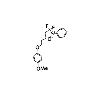 COc1ccc(OCCCCC(F)(F)[S+]([O-])c2ccccc2)cc1